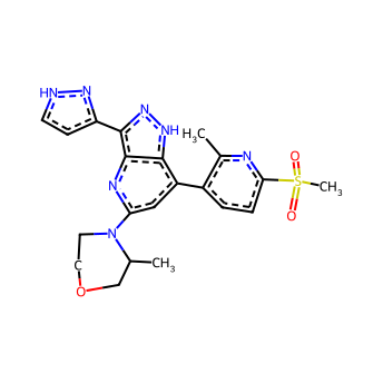 Cc1nc(S(C)(=O)=O)ccc1-c1cc(N2CCOCC2C)nc2c(-c3cc[nH]n3)n[nH]c12